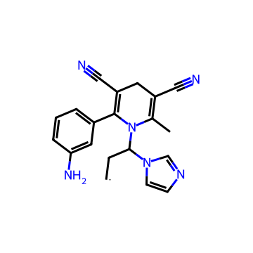 [CH2]CC(N1C(C)=C(C#N)CC(C#N)=C1c1cccc(N)c1)n1ccnc1